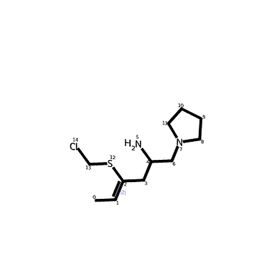 C/C=C(/CC(N)CN1CCCC1)SCCl